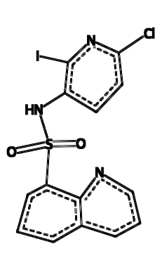 O=S(=O)(Nc1ccc(Cl)nc1I)c1cccc2cccnc12